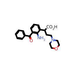 Nc1c(C(=O)c2ccccc2)cccc1C(CCN1CCOCC1)C(=O)O